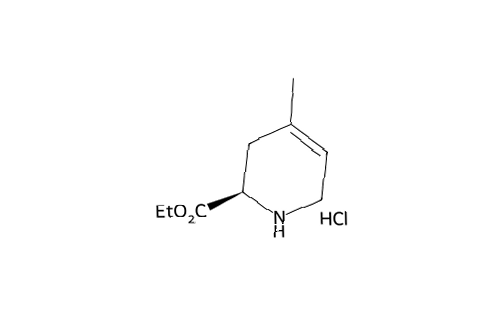 CCOC(=O)[C@H]1CC(C)=CCN1.Cl